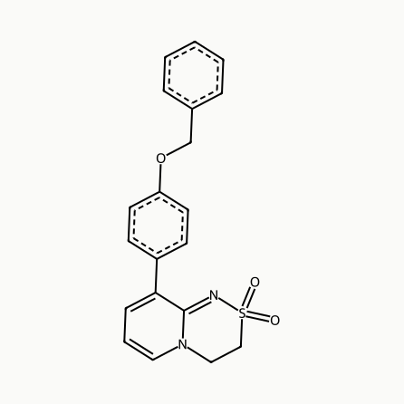 O=S1(=O)CCN2C=CC=C(c3ccc(OCc4ccccc4)cc3)C2=N1